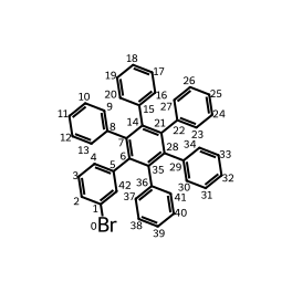 Brc1cccc(-c2c(-c3ccccc3)c(-c3ccccc3)c(-c3ccccc3)c(-c3ccccc3)c2-c2ccccc2)c1